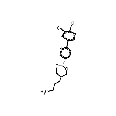 CCCC[C@H]1CO[C@H](c2ccc(-c3ccc(Cl)c(Cl)c3)nc2)OC1